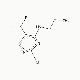 CCCNc1nc(Cl)ncc1C(F)F